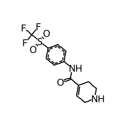 O=C(Nc1ccc(S(=O)(=O)C(F)(F)F)cc1)C1=CCNCC1